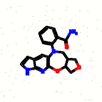 NC(=O)c1ccccc1N1CC2COCC2Oc2nc3[nH]ccc3cc21